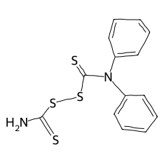 NC(=S)SSC(=S)N(c1ccccc1)c1ccccc1